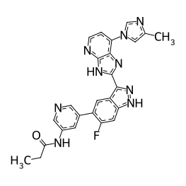 CCC(=O)Nc1cncc(-c2cc3c(-c4nc5c(-n6cnc(C)c6)ccnc5[nH]4)n[nH]c3cc2F)c1